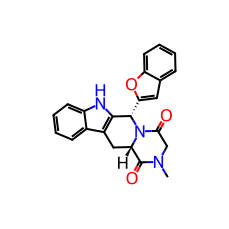 CN1CC(=O)N2[C@@H](c3cc4ccccc4o3)c3[nH]c4ccccc4c3C[C@H]2C1=O